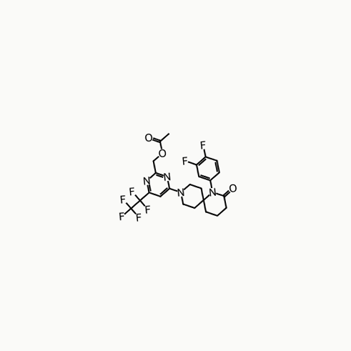 CC(=O)OCc1nc(N2CCC3(CCCC(=O)N3c3ccc(F)c(F)c3)CC2)cc(C(F)(F)C(F)(F)F)n1